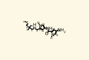 CSSC(C)(C)CNCc1cc(NC(=O)c2cc(N)cn2C)cn1C